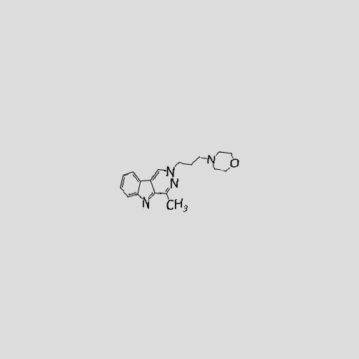 Cc1nn(CCCN2CCOCC2)cc2c3ccccc3nc1-2